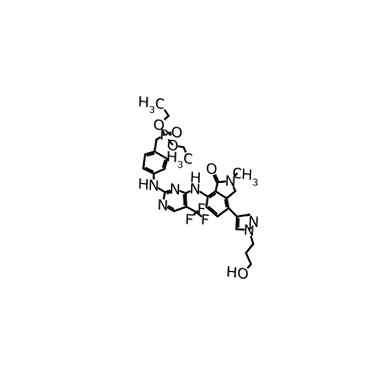 CCOP(=O)(Cc1ccc(Nc2ncc(C(F)(F)F)c(Nc3ccc(-c4cnn(CCCO)c4)c4c3C(=O)N(C)C4)n2)cc1)OCC